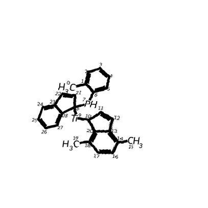 Cc1ccccc1P[C]1([Ti][CH]2C=Cc3c(C)ccc(C)c32)C=Cc2ccccc21